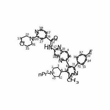 CCCN1CCC(c2c(-c3ccc4nc(NC(=O)c5ccnc(N6CCOCC6)c5)cn4n3)c(-c3ccc(F)cc3)nn2C)CC1